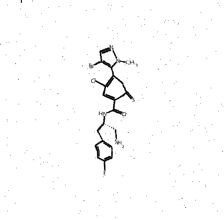 Cn1ncc(Br)c1C1=C(Cl)C=C(C(=O)N[C@H](CN)Cc2ccc(F)cc2)C(=S)C1